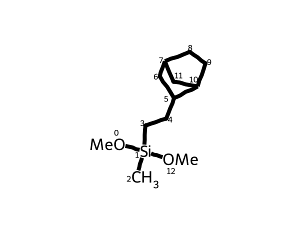 CO[Si](C)(CCC1CC2CCC1C2)OC